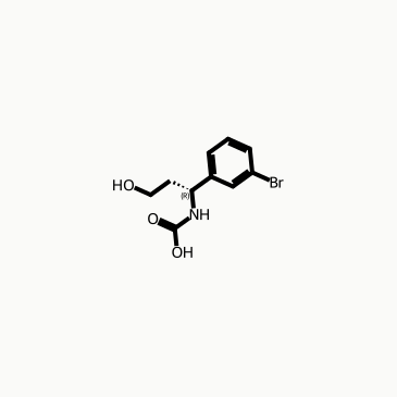 O=C(O)N[C@H](CCO)c1cccc(Br)c1